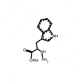 COC(=O)C(Cc1c[nH]c2ccccc12)NP